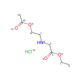 CCOC(=O)CNCCOC(C)=O.Cl